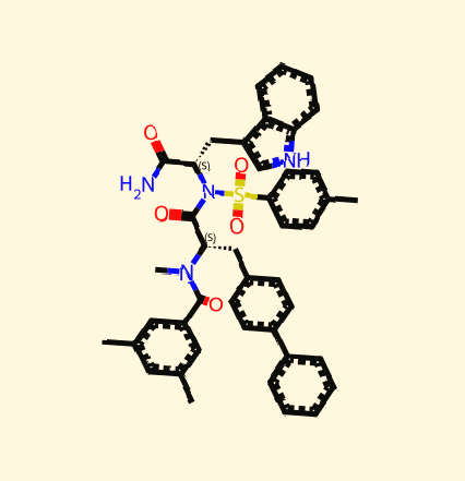 Cc1ccc(S(=O)(=O)N(C(=O)[C@H](Cc2ccc(-c3ccccc3)cc2)N(C)C(=O)c2cc(C)cc(C)c2)[C@@H](Cc2c[nH]c3ccccc23)C(N)=O)cc1